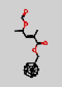 CC(=CC(C)OC=O)C(=O)OC[C]12[CH]3[CH]4[CH]5[CH]1[Fe]45321678[CH]2[CH]1[CH]6[CH]7[CH]28